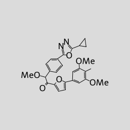 COc1cc(-c2ccc(C(=O)C(OC)c3ccc(-c4nnc(C5CC5)o4)cc3)o2)cc(OC)c1C